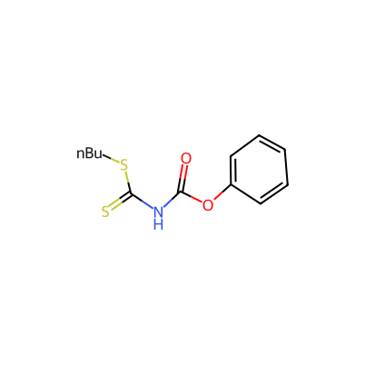 CCCCSC(=S)NC(=O)Oc1ccccc1